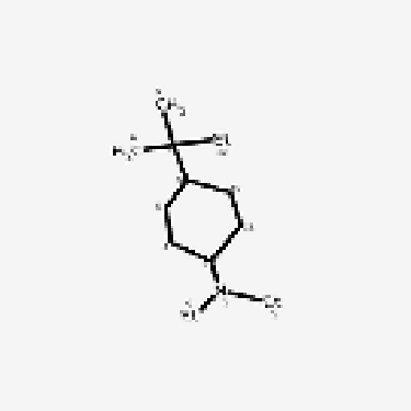 CCN(CC)C1CCC(C(C)(C)CC)CC1